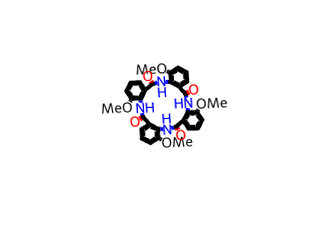 COc1cccc2c1NC(=O)c1cccc(OC)c1NC(=O)c1cccc(OC)c1NC(=O)c1cccc(OC)c1NC2=O